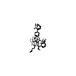 CCCCc1nc(=O)c(S(=O)(=O)c2ccc(-c3cccnc3C)cc2)c(O)n1C(CC)c1cccc(OC)c1